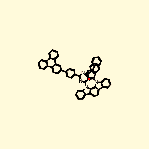 c1ccc(-c2cccc(-n3c4ccccc4c4ccc5c6ccccc6n(-c6nc(-c7ccccc7)nc(-c7ccc(-c8ccc9c%10ccccc%10c%10ccccc%10c9c8)cc7)n6)c5c43)c2)cc1